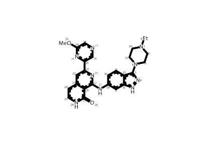 CCN1CCN(c2n[nH]c3cc(Nc4nc(-c5cncc(OC)n5)cc5cc[nH]c(=O)c45)ccc23)CC1